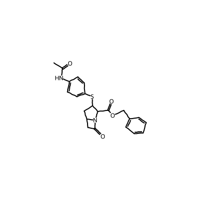 CC(=O)Nc1ccc(SC2CC3CC(=O)N3C2C(=O)OCc2ccccc2)cc1